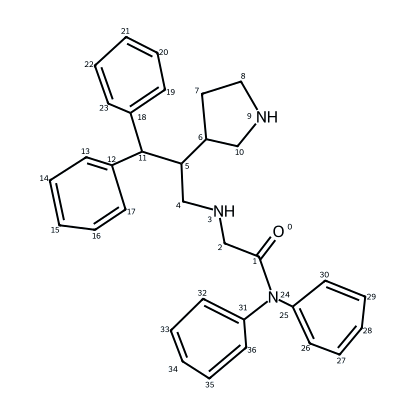 O=C(CNCC(C1CCNC1)C(c1ccccc1)c1ccccc1)N(c1ccccc1)c1ccccc1